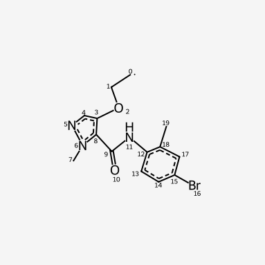 [CH2]COc1cnn(C)c1C(=O)Nc1ccc(Br)cc1C